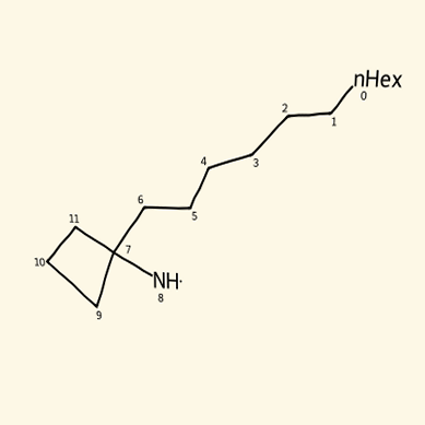 CCCCCCCCCCCCC1([NH])CCC1